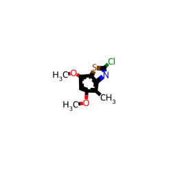 COc1cc(OC)c2sc(Cl)nc2c1C